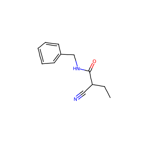 CCC(C#N)C(=O)NCc1ccccc1